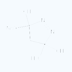 CC(=O)OC1(C)CC(C)(C)N=N1